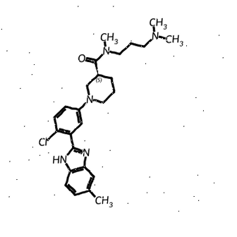 Cc1ccc2[nH]c(-c3cc(N4CCC[C@H](C(=O)N(C)CCCN(C)C)C4)ccc3Cl)nc2c1